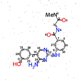 CNC(=O)C=NC(=O)c1cccc(Nc2ncc(-c3cccc(O)c3)c(N)n2)c1